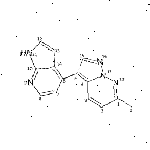 Cc1ccc2c(-c3ccnc4[nH]ccc34)cnn2n1